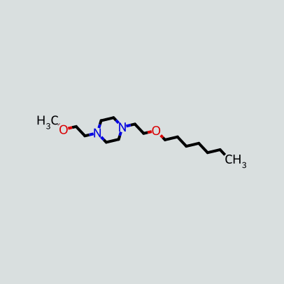 CCCCCCCOCCN1CCN(CCOC)CC1